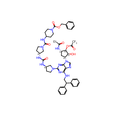 CCC(=O)N[C@H]1C[C@@H](n2cnc3c(NCC(c4ccccc4)c4ccccc4)nc(N4CC[C@@H](NC(=O)N[C@@H]5CCN(C(=O)NC6CCN(C(=O)OCc7ccccc7)CC6)C5)C4)nc32)[C@H](O)[C@@H]1OC(=O)C(F)(F)F